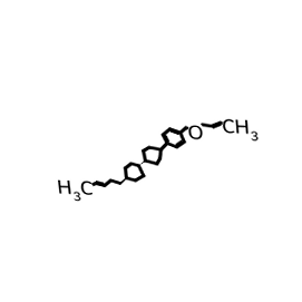 CC=CCOCc1ccc(C2CCC([C@H]3CC[C@H](CC/C=C/C)CC3)CC2)cc1